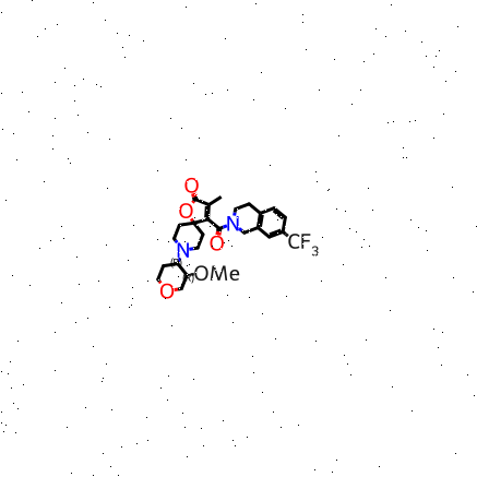 CO[C@H]1COCC[C@H]1N1CCC2(CC1)OC(=O)C(C)=C2C(=O)N1CCc2ccc(C(F)(F)F)cc2C1